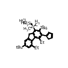 CCc1cc(C(C)(C)C)cc2c1-c1c(CC)c(C3=CC=CC3)c(C(C)(C)C)[c]([Zr]([CH3])([CH3])=[SiH2])c1C2.Cl.Cl